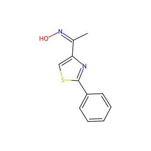 C/C(=N/O)c1csc(-c2ccccc2)n1